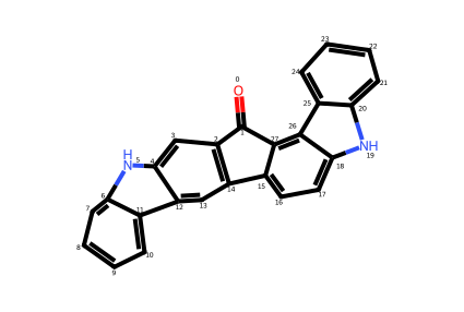 O=C1c2cc3[nH]c4ccccc4c3cc2-c2ccc3[nH]c4ccccc4c3c21